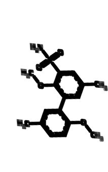 COc1ccc(C)cc1-c1cc(C)cc(S(N)(=O)=O)c1OC